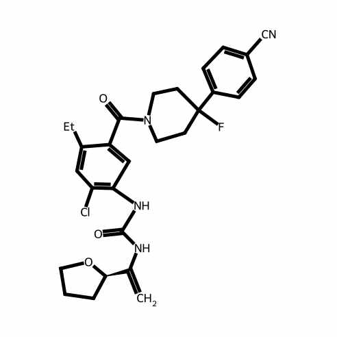 C=C(NC(=O)Nc1cc(C(=O)N2CCC(F)(c3ccc(C#N)cc3)CC2)c(CC)cc1Cl)[C@H]1CCCO1